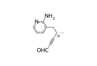 C[C@H](C#CC=O)Cc1cccnc1N